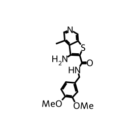 COc1ccc(CNC(=O)c2sc3cncc(C)c3c2N)cc1OC